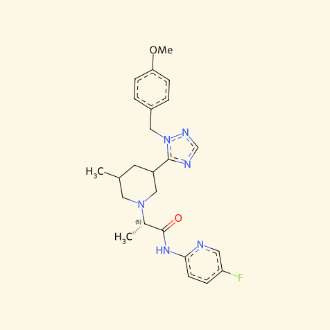 COc1ccc(Cn2ncnc2C2CC(C)CN([C@@H](C)C(=O)Nc3ccc(F)cn3)C2)cc1